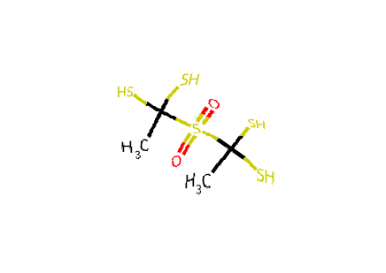 CC(S)(S)S(=O)(=O)C(C)(S)S